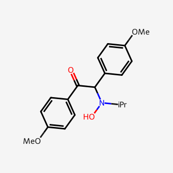 COc1ccc(C(=O)C(c2ccc(OC)cc2)N(O)C(C)C)cc1